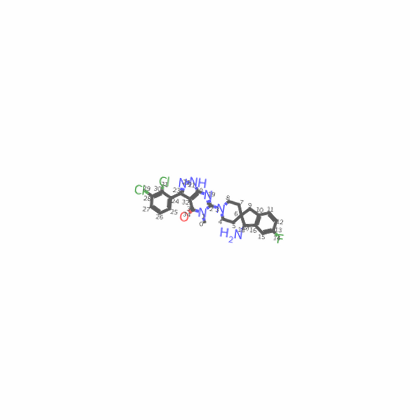 Cn1c(N2CCC3(CC2)Cc2ccc(F)cc2[C@H]3N)nc2[nH]nc(-c3cccc(Cl)c3Cl)c2c1=O